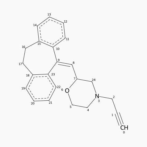 C#CCN1CCOC(C=C2c3ccccc3CCc3ccccc32)C1